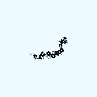 Cc1c(-c2nc3cc4c(c(F)c3o2)CC[C@H]4N2CC[C@@H](C(=O)NS(=O)(=O)C3CC3)C2)cccc1-c1cccc(Nc2nccc3cc(CN4CC[C@@H](O)C4)cnc23)c1Cl